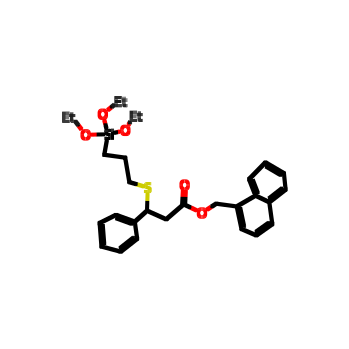 CCO[Si](CCCSC(CC(=O)OCc1cccc2ccccc12)c1ccccc1)(OCC)OCC